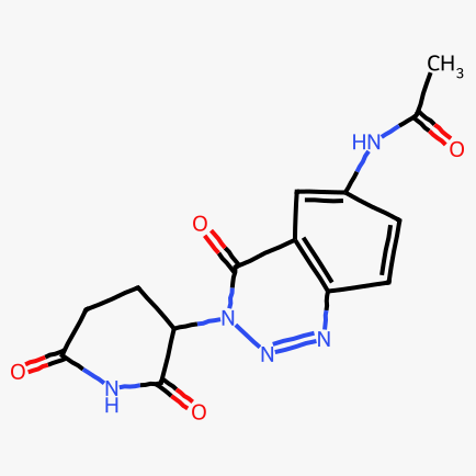 CC(=O)Nc1ccc2nnn(C3CCC(=O)NC3=O)c(=O)c2c1